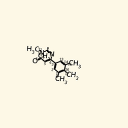 Cc1cc(C(=C/C=O)/N=C\N(C)C)cc(C)c1C